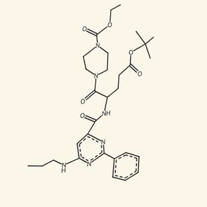 CCCNc1cc(C(=O)NC(CCC(=O)OC(C)(C)C)C(=O)N2CCN(C(=O)OCC)CC2)nc(-c2ccccc2)n1